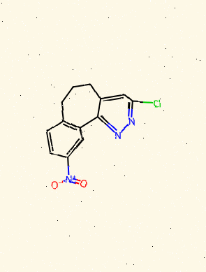 O=[N+]([O-])c1ccc2c(c1)-c1nnc(Cl)cc1CCC2